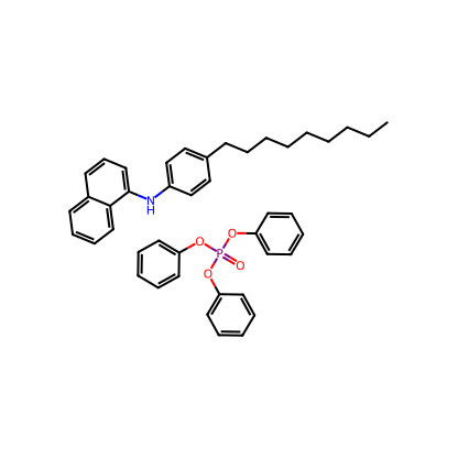 CCCCCCCCCc1ccc(Nc2cccc3ccccc23)cc1.O=P(Oc1ccccc1)(Oc1ccccc1)Oc1ccccc1